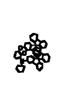 c1ccc(N(c2ccc3c(c2)-c2ccccc2C32c3ccccc3-c3ccccc32)c2cccc3c2Oc2c(ccc4c2-c2ccccc2C42c4ccccc4-c4ccccc42)O3)cc1